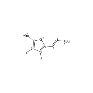 Cc1c(/C=C/C(C)(C)C)sc(C(C)(C)C)c1C